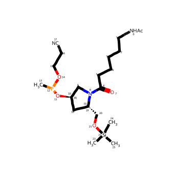 CC(=O)NCCCCCC(=O)N1C[C@H](OP(C)OCCC#N)C[C@H]1CO[Si](C)(C)C